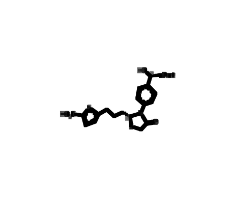 CCCCC[C@H](O)c1ccc(N2C(=O)CS[C@@H]2CCCc2ccc(C(=O)O)s2)cc1